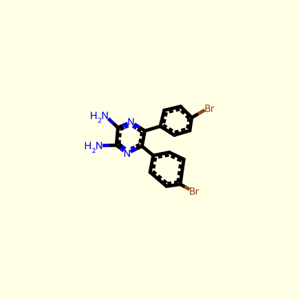 Nc1nc(-c2ccc(Br)cc2)c(-c2ccc(Br)cc2)nc1N